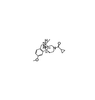 COc1ccc2c(c1)[C@@]13CCN(C(=O)C4CC4)C[C@H]1[C@@H](C2)N(C)CC3